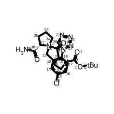 CC(C)(C)OC(=O)N1CCC1C(=O)[N+]1(Cc2cc(Cl)ccc2-n2cnnn2)CCC[C@H]1C(N)=O